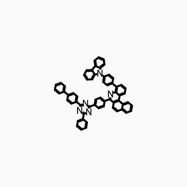 c1ccc(-c2ccc(-c3nc(-c4ccccc4)nc(-c4ccc(-c5nc6c(-c7ccc(-n8c9ccccc9c9ccccc98)cc7)cccc6c6c5ccc5ccccc56)cc4)n3)cc2)cc1